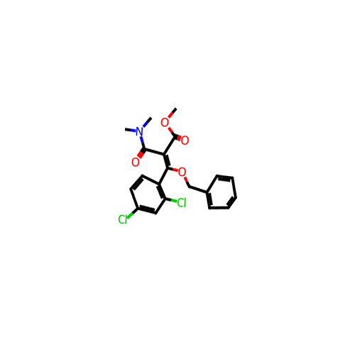 COC(=O)C(C(=O)N(C)C)=C(OCc1ccccc1)c1ccc(Cl)cc1Cl